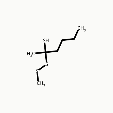 CCCCC(C)(S)SSC